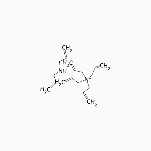 C=CCNCC=C.C=CC[N+](CC=C)(CC=C)CC=C